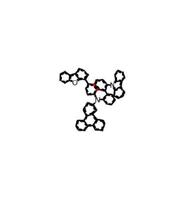 c1ccc(N(c2ccc(-c3cccc4c3oc3ccccc34)cc2)c2ccc3c4ccccc4c4ccccc4c3c2)c(-c2ccccc2-n2c3ccccc3c3ccccc32)c1